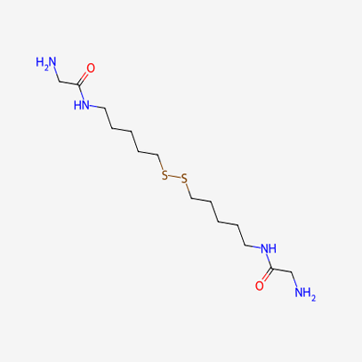 NCC(=O)NCCCCCSSCCCCCNC(=O)CN